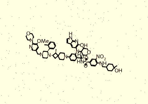 COc1cc(CN2CCN([C@H]3CC4(CCN(c5ccc(C(=O)NS(=O)(=O)c6ccc(NCC7CCC(C)(O)CC7)c([N+](=O)[O-])c6)c(N6c7cc8cc[nH]c8nc7O[C@H]7COCC[C@@H]76)c5)CC4)[C@@H]3C)[C@H](c3ccccc3C)C2)cnc1N1CCOCC1